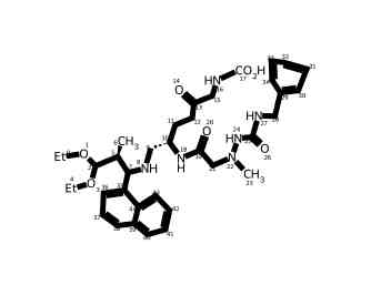 CCOC(OCC)[C@@H](C)C(NC[C@H](CCC(=O)CNC(=O)O)NC(=O)CN(C)NC(=O)NCc1ccccc1)c1cccc2ccccc12